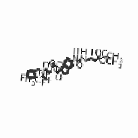 C[C@H](N(Cc1ccc(F)cc1)C(=O)CN1C(=O)OC2(CCc3cc(NC(=O)NCCCC(=O)OC(C)(C)C)ccc32)C1=O)C(F)(F)F